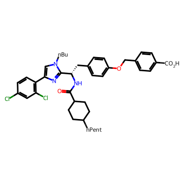 CCCCCC1CCC(C(=O)N[C@@H](Cc2ccc(OCc3ccc(C(=O)O)cc3)cc2)c2nc(-c3ccc(Cl)cc3Cl)cn2CCCC)CC1